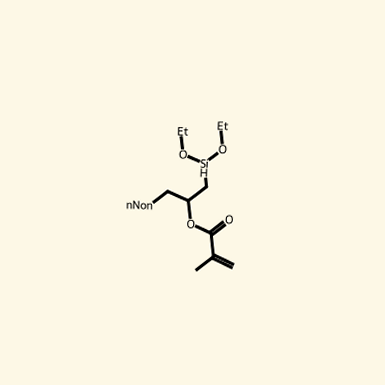 C=C(C)C(=O)OC(CCCCCCCCCC)C[SiH](OCC)OCC